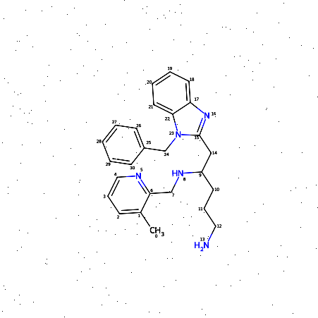 Cc1cccnc1CNC(CCCN)Cc1nc2ccccc2n1Cc1ccccc1